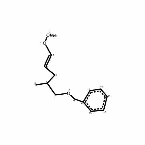 COOC=CCC(C)COCc1ccccc1